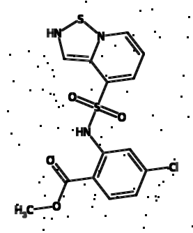 COC(=O)c1ccc(Cl)cc1NS(=O)(=O)C1=CC=CN2SNC=C12